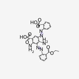 CCOC(=O)c1ccccc1/N=N/c1c(N)c(/N=N/c2ccccc2S(=O)(=O)O)cc(S(=O)(=O)O)c1N